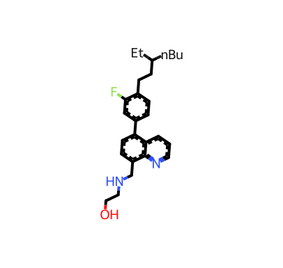 CCCCC(CC)CCc1ccc(-c2ccc(CNCCO)c3ncccc23)cc1F